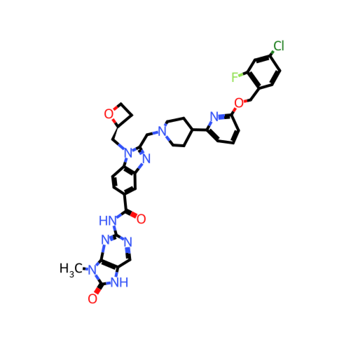 Cn1c(=O)[nH]c2cnc(NC(=O)c3ccc4c(c3)nc(CN3CCC(c5cccc(OCc6ccc(Cl)cc6F)n5)CC3)n4C[C@@H]3CCO3)nc21